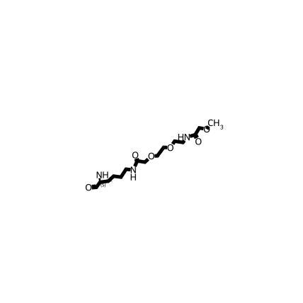 COCC(=O)NCCOCCOCC(=O)NCCCC[C@H](N)C=O